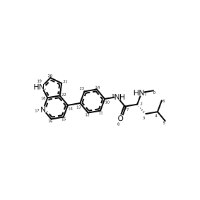 CN[C@H](CC(C)C)C(=O)Nc1ccc(-c2ccnc3[nH]ccc23)cc1